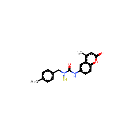 COc1ccc(CN(S)C(=O)Nc2ccc3oc(=O)cc(C(F)(F)F)c3c2)cc1